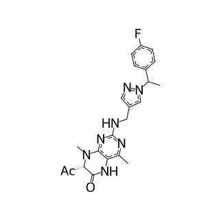 CC(=O)[C@H]1C(=O)Nc2c(C)nc(NCc3cnn(C(C)c4ccc(F)cc4)c3)nc2N1C